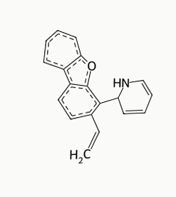 C=Cc1ccc2c(oc3ccccc32)c1C1C=CC=CN1